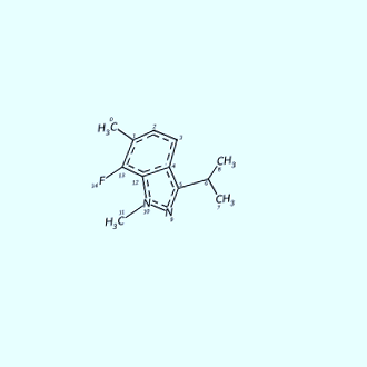 Cc1ccc2c(C(C)C)nn(C)c2c1F